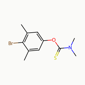 Cc1cc(OC(=S)N(C)C)cc(C)c1Br